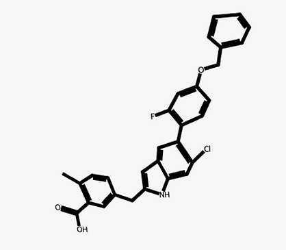 Cc1ccc(Cc2cc3cc(-c4ccc(OCc5ccccc5)cc4F)c(Cl)cc3[nH]2)cc1C(=O)O